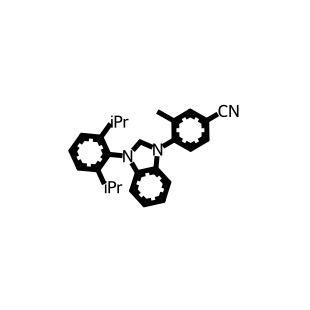 Cc1cc(C#N)ccc1N1CN(c2c(C(C)C)cccc2C(C)C)c2ccccc21